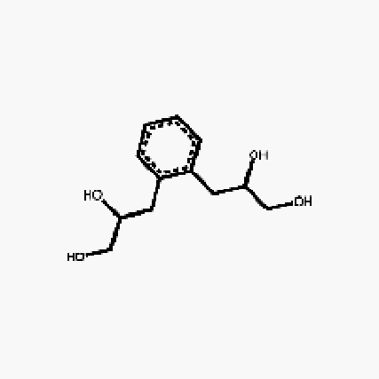 OCC(O)Cc1ccccc1CC(O)CO